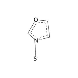 [S-][n+]1ccoc1